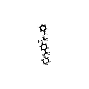 O=C(NC1CCC(C(=O)CN2CCOCC2)CC1)OCc1ccccc1